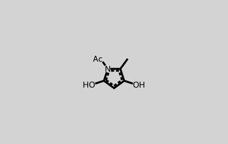 CC(=O)n1c(O)cc(O)c1C